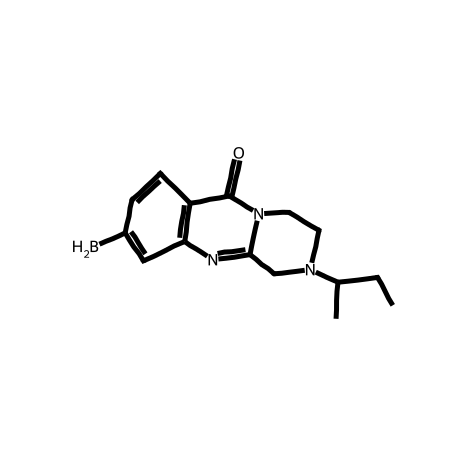 Bc1ccc2c(=O)n3c(nc2c1)CN(C(C)CC)CC3